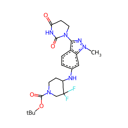 Cn1nc(N2CCC(=O)NC2=O)c2ccc(NC3CCN(C(=O)OC(C)(C)C)CC3(F)F)cc21